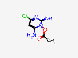 CC(=O)On1c(N)cc(Cl)nc1=N